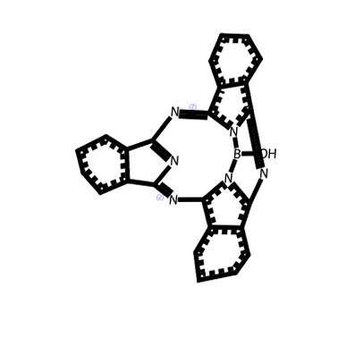 OB1n2c3c4ccccc4c2/N=C2N=C(/N=c4/c5ccccc5c(n41)=N3)c1ccccc1\2